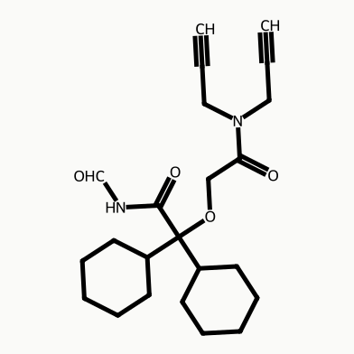 C#CCN(CC#C)C(=O)COC(C(=O)NC=O)(C1CCCCC1)C1CCCCC1